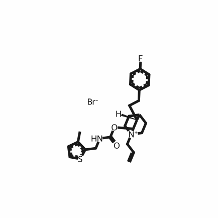 C=CC[N+]12CCC(CC1)[C@@H](CCc1ccc(F)cc1)C2OC(=O)NCc1sccc1C.[Br-]